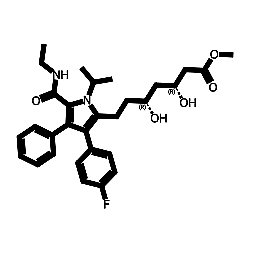 CCNC(=O)c1c(-c2ccccc2)c(-c2ccc(F)cc2)c(CC[C@@H](O)C[C@@H](O)CC(=O)OC)n1C(C)C